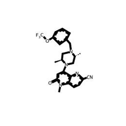 C[C@@H]1CN(c2cc(=O)n(C)c3ccc(C#N)nc23)[C@@H](C)CN1Cc1cccc(OC(F)(F)F)c1